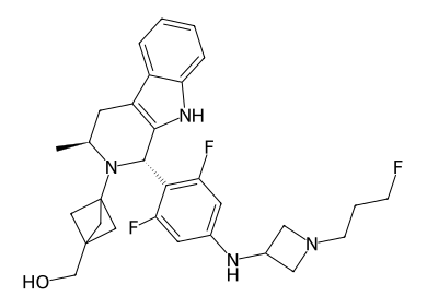 C[C@H]1Cc2c([nH]c3ccccc23)[C@H](c2c(F)cc(NC3CN(CCCF)C3)cc2F)N1C12CC(CO)(C1)C2